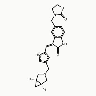 O=C1Nc2ccc(CN3CCOC3=O)cc2C1=Cc1cc(CN2C[C@H]3C[C@H]3C2)c[nH]1